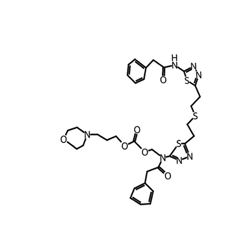 O=C(Cc1ccccc1)Nc1nnc(CCSCCc2nnc(N(COC(=O)OCCCN3CCOCC3)C(=O)Cc3ccccc3)s2)s1